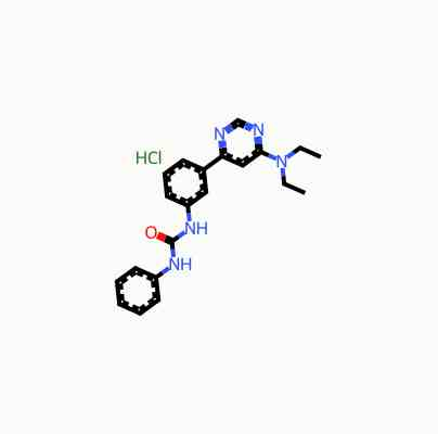 CCN(CC)c1cc(-c2cccc(NC(=O)Nc3ccccc3)c2)ncn1.Cl